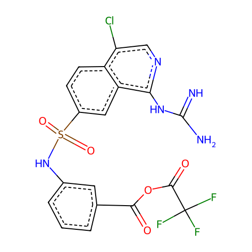 N=C(N)Nc1ncc(Cl)c2ccc(S(=O)(=O)Nc3cccc(C(=O)OC(=O)C(F)(F)F)c3)cc12